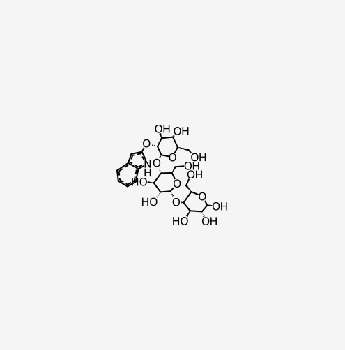 OC[C@H]1O[C@H](O[C@H]2[C@H](O)[C@@H](O)[C@@H](O[C@H]3[C@H](O)[C@@H](O)C(O)O[C@@H]3CO)O[C@@H]2CO)[C@H](Oc2cc3ccccc3[nH]2)[C@@H](O)[C@@H]1O